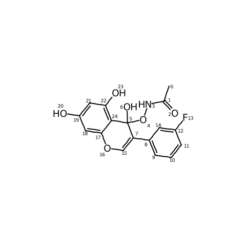 CC(=O)NOC1(O)C(c2cccc(F)c2)=COc2cc(O)cc(O)c21